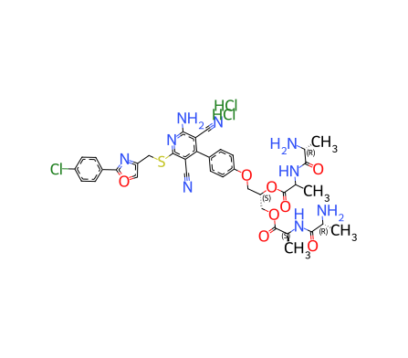 CC(NC(=O)[C@@H](C)N)C(=O)O[C@H](COC(=O)[C@H](C)NC(=O)[C@@H](C)N)COc1ccc(-c2c(C#N)c(N)nc(SCc3coc(-c4ccc(Cl)cc4)n3)c2C#N)cc1.Cl.Cl